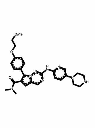 COCCOc1ccc(-c2c(C(=O)N(C)C)cc3cnc(Nc4ccc(N5CCNCC5)cn4)nn23)cc1